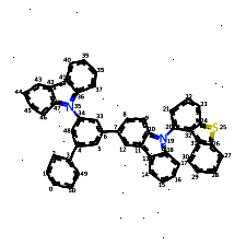 c1ccc(-c2cc(-c3ccc4c(c3)c3ccccc3n4-c3cccc4sc5ccccc5c34)cc(-n3c4ccccc4c4ccccc43)c2)cc1